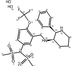 CS(=O)(=O)N(c1ccc(OC(F)(F)F)c(CN[C@@H]2CCCN[C@@H]2c2ccccc2)c1)S(C)(=O)=O.Cl.Cl